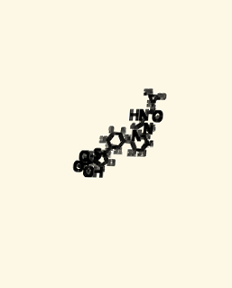 O=C(Nc1cn2c(-c3cccc(-c4ccc(P(=O)(O)O)s4)c3)cccc2n1)C1CC1